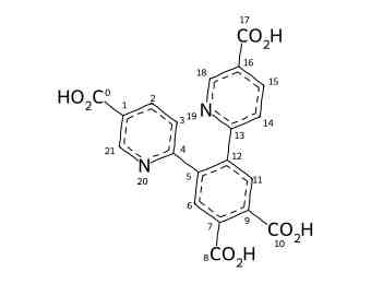 O=C(O)c1ccc(-c2cc(C(=O)O)c(C(=O)O)cc2-c2ccc(C(=O)O)cn2)nc1